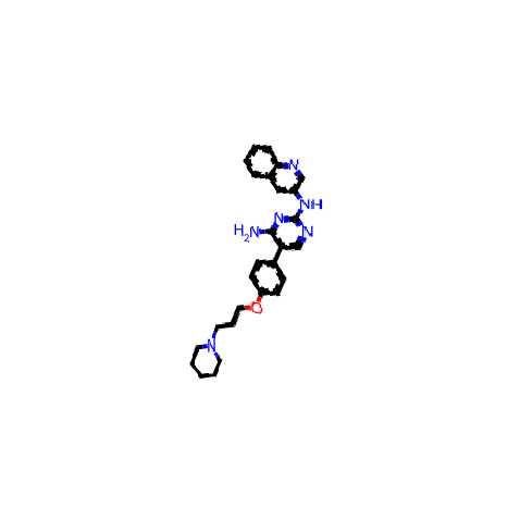 Nc1nc(Nc2cnc3ccccc3c2)ncc1-c1ccc(OCCCN2CCCCC2)cc1